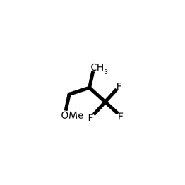 COCC(C)C(F)(F)F